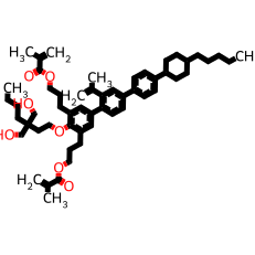 C=C(C)C(=O)OCCCc1cc(-c2ccc(-c3ccc(C4CCC(CCCCC)CC4)cc3)cc2C(=C)C)cc(CCCOC(=O)C(=C)C)c1OCCC(CO)(CO)CCCC